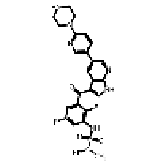 CCN(C)S(=O)(=O)Nc1cc(F)cc(C(=O)c2c[nH]c3ncc(-c4ccc(N5CCNCC5)nc4)cc23)c1F